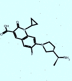 C[C@H](N)[C@@H]1CCN(c2cc3c(cc2F)cc(C(=O)O)c(=O)n3C2CC2)C1